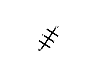 CC(C)(Br)C(F)(F)C(C)(C)Br